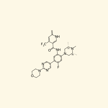 C=C1C=C(C(F)(F)F)C(C(=O)Nc2cc(-c3cnc(N4CCOCC4)nc3)c(F)cc2N2C[C@@H](C)N(C)[C@@H](C)C2)=CN1